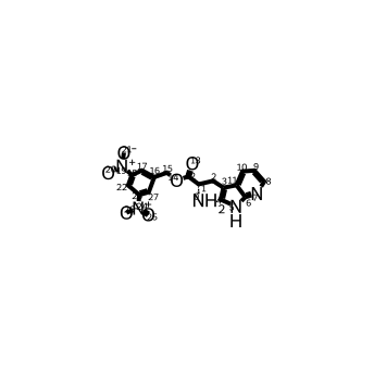 N[C@@H](Cc1c[nH]c2ncccc12)C(=O)OCc1cc([N+](=O)[O-])cc([N+](=O)[O-])c1